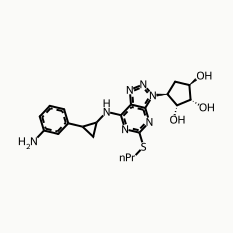 CCCSc1nc(NC2CC2c2cccc(N)c2)c2nnn([C@H]3C[C@@H](O)[C@H](O)[C@@H]3O)c2n1